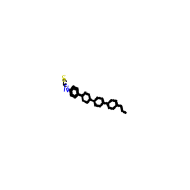 CCCC1CCC(C2CCC(C3CCC(c4ccc(N=C=S)cc4)CC3)CC2)CC1